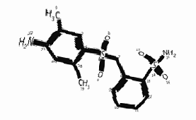 Cc1cc(S(=O)(=O)Cc2ccccc2S(N)(=O)=O)c(C)cc1N